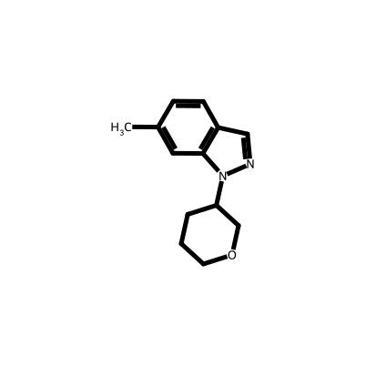 Cc1ccc2cnn(C3CCCOC3)c2c1